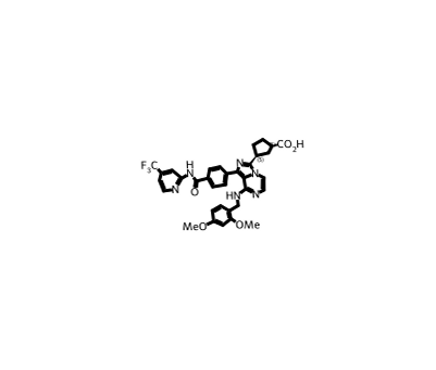 COc1ccc(CNc2nccn3c([C@H]4CC[C@@H](C(=O)O)C4)nc(-c4ccc(C(=O)Nc5cc(C(F)(F)F)ccn5)cc4)c23)c(OC)c1